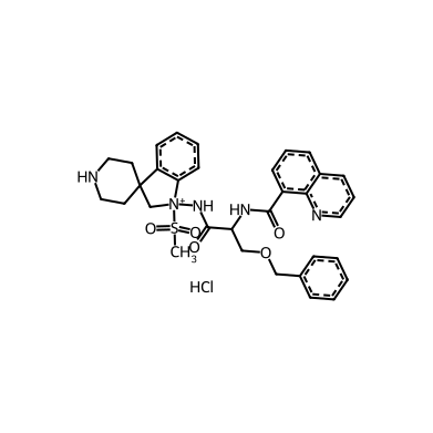 CS(=O)(=O)[N+]1(NC(=O)C(COCc2ccccc2)NC(=O)c2cccc3cccnc23)CC2(CCNCC2)c2ccccc21.Cl